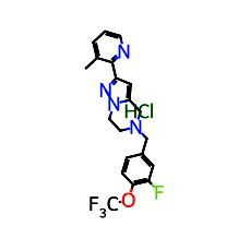 Cc1cccnc1-c1cc2n(n1)CCN(Cc1ccc(OC(F)(F)F)c(F)c1)C2.Cl